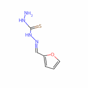 NNC(=S)NN=Cc1ccco1